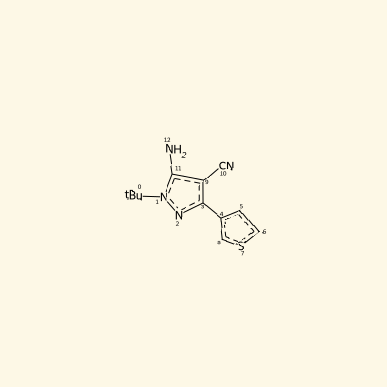 CC(C)(C)n1nc(-c2ccsc2)c(C#N)c1N